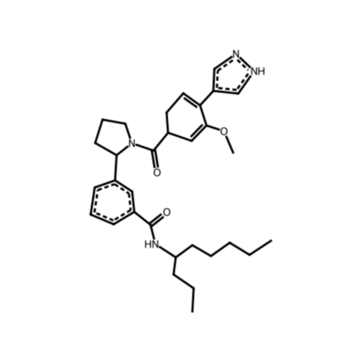 CCCCCC(CCC)NC(=O)c1cccc(C2CCCN2C(=O)C2C=C(OC)C(c3cn[nH]c3)=CC2)c1